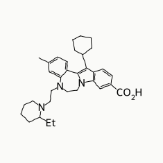 CCC1CCCCN1CCN1CCn2c(c(C3CCCCC3)c3ccc(C(=O)O)cc32)-c2ccc(C)cc21